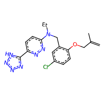 C=C(C)COc1ccc(Cl)cc1CN(CC)c1ccc(-c2nnn[nH]2)nn1